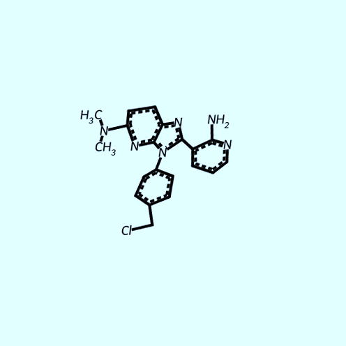 CN(C)c1ccc2nc(-c3cccnc3N)n(-c3ccc(CCl)cc3)c2n1